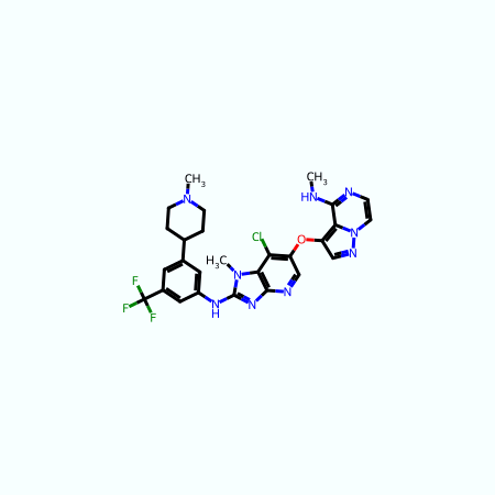 CNc1nccn2ncc(Oc3cnc4nc(Nc5cc(C6CCN(C)CC6)cc(C(F)(F)F)c5)n(C)c4c3Cl)c12